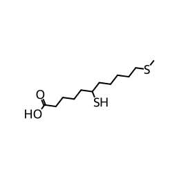 CSCCCCCC(S)CCCCC(=O)O